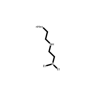 CCCCCCCCNCCN(CC)CC